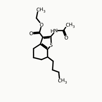 CCCCC1CCCc2c1sc(NC(C)=O)c2C(=O)OCC